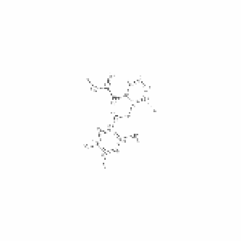 COC(=S)Nc1cccc(I)c1COc1cc(C)c(C)cc1Br